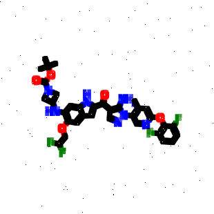 Cc1cc(Oc2c(F)cccc2F)ncc1-n1ncc(C(=O)c2cc3cc(OCC(F)F)c(NC4CN(C(=O)OC(C)(C)C)C4)cc3[nH]2)c1N